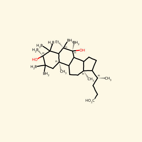 BC1(B)C[C@]2(C)C3CC[C@@]4(C)C(CCC4[C@H](C)CCC(=O)O)C3[C@](B)(O)[C@@](B)(CC)C2C(B)(B)[C@]1(B)O